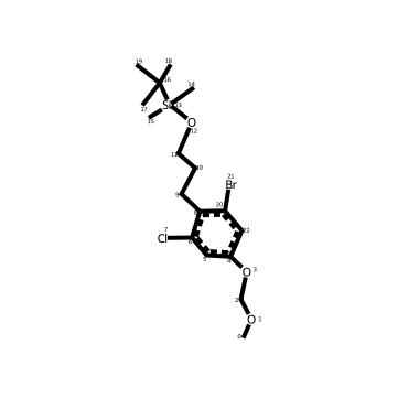 COCOc1cc(Cl)c(CCCO[Si](C)(C)C(C)(C)C)c(Br)c1